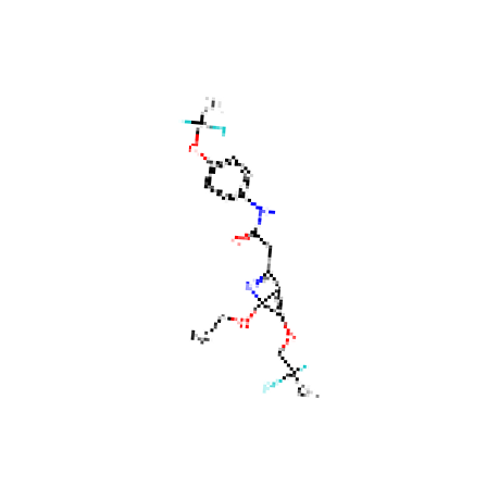 CC(F)(F)COC1=C2C(CC(=O)Nc3ccc(OC(C)(F)F)cc3)=NC12OCC(F)(F)F